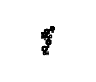 Nc1ccc(-c2cccs2)cc1NC(=O)c1ccc(CN2CCCC(O)C2)cc1